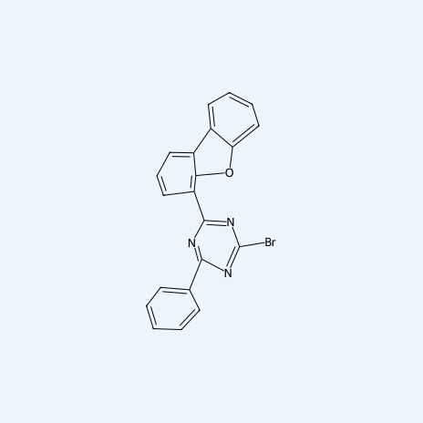 Brc1nc(-c2ccccc2)nc(-c2cccc3c2oc2ccccc23)n1